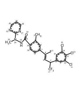 Cc1cc(C(F)=CC(c2cc(Cl)c(Cl)c(Cl)c2)C(F)(F)F)ccc1C(=O)NN(C)c1ncccn1